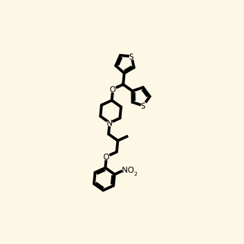 CC(COc1ccccc1[N+](=O)[O-])CN1CCC(OC(c2ccsc2)c2ccsc2)CC1